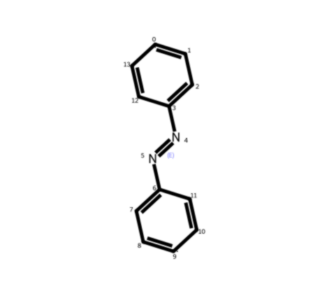 [c]1ccc(/N=N/c2cc[c]cc2)cc1